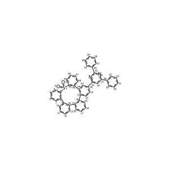 O=S1(=O)c2ccccc2-c2ccccc2-c2ccccc2-c2ccc(-c3cc(-c4ccccc4)nc(-c4ccccc4)n3)cc2-c2ccccc21